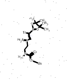 CC/C(=C\N(N)CCN(C)C(=O)OC(C)(C)C)B1OC(C)(C)C(C)(C)O1